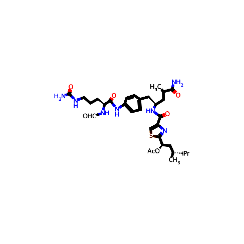 CC(=O)O[C@H](C[C@@H](C)C(C)C)c1nc(C(=O)N[C@@H](Cc2ccc(NC(=O)[C@H](CCCNC(N)=O)NC=O)cc2)CC(C)C(N)=O)cs1